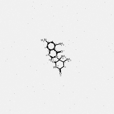 Bc1cc(N)c2c(=O)n(C3(B)C(=O)NC(=O)CC3B)c(C)nc2c1